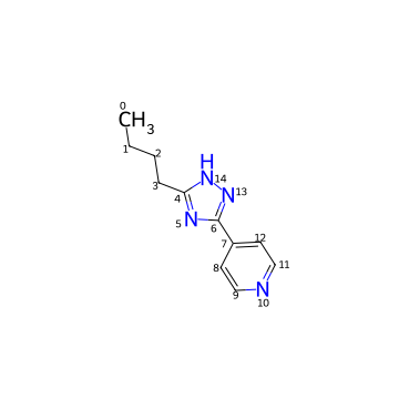 CCCCc1nc(-c2ccncc2)n[nH]1